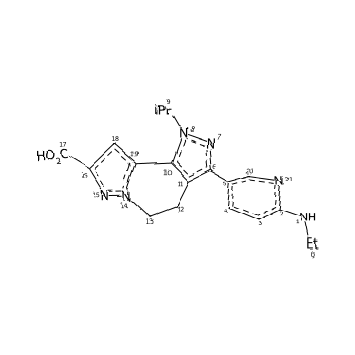 CCNc1ccc(-c2nn(C(C)C)c3c2CCn2nc(C(=O)O)cc2-3)cn1